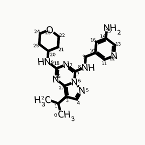 CC(C)c1cnn2c(NCc3cncc(N)c3)nc(NC3CCOCC3)nc12